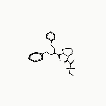 CCC(C)(C)C(=O)C(=O)N1CCCCC1C(=O)C(CCc1ccccc1)CCc1ccccc1